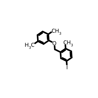 Cc1ccc(C)c(OCc2cc(I)ccc2C)c1